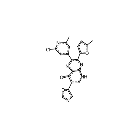 Cc1cc(-c2nc3c(=O)c(-c4cnco4)c[nH]c3nc2-c2ccc(C)o2)cc(Cl)n1